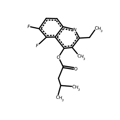 CCc1nc2ccc(F)c(F)c2c(OC(=O)CC(C)C)c1C